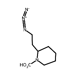 [N-]=[N+]=NCCC1CCCCN1C(=O)O